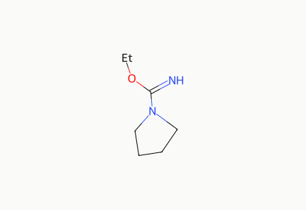 CCOC(=N)N1CCCC1